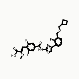 CO/C(=C\c1c(F)cc(C(=O)Nc2nc(-c3cccc(COCC4CCC4)c3F)cs2)cc1F)C(=O)O